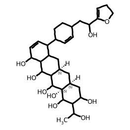 CC(O)C1C(O)C[C@@H]2C[C@@H]3CC4C(C5C=CC(CC(O)C6=CCCO6)CC5)C=CC(O)C4C(O)C3C(O)[C@]2(O)C1O